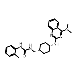 Cc1ccccc1NC(=O)NC[C@H]1CC[C@@H](Nc2nc(N(C)C)c3ccccc3n2)CC1